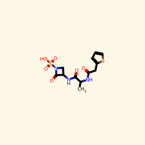 CC(NC(=O)Cc1cccs1)C(=O)NC1CN(S(=O)(=O)O)C1=O